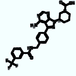 Nc1ncnc2c1c(-c1ccc(CNC(=O)c3cccc(C(F)(F)F)c3)cc1)nn2[C@@H]1CCCN(C(=O)O)C1